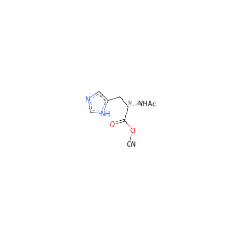 CC(=O)N[C@@H](Cc1cnc[nH]1)C(=O)OC#N